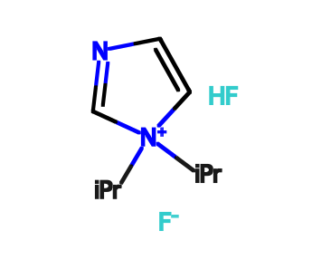 CC(C)[N+]1(C(C)C)C=CN=C1.F.[F-]